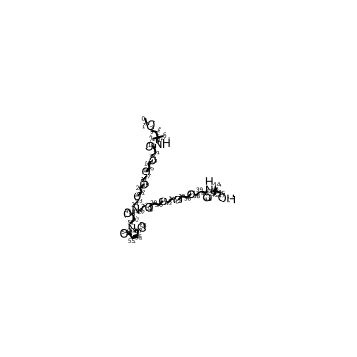 CCOCCC(C)(C)NC(=O)CCOCCOCCOCCOCCN(CCOCCOCCOCCOCCC(=O)NC(C)(C)CO)C(=O)CCN1C(=O)C=CC1=O